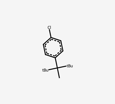 CC(C)(C)C(C)(c1ccc(Cl)cc1)C(C)(C)C